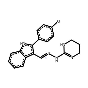 Clc1ccc(-c2[nH]c3ccccc3c2/C=N/NC2=NCCCN2)cc1